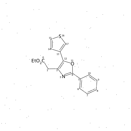 CCOC(=O)Cc1nc(-c2ccccc2)oc1-c1ccsc1